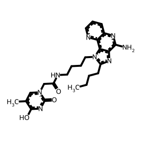 CCCCc1nc2c(N)nc3cccnc3c2n1CCCCNC(=O)Cn1cc(C)c(O)nc1=O